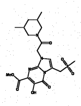 COC(=O)c1nc2n(CC(=O)N3CC(C)CC(C)C3)cc(CS(C)(=O)=O)n2c(=O)c1O